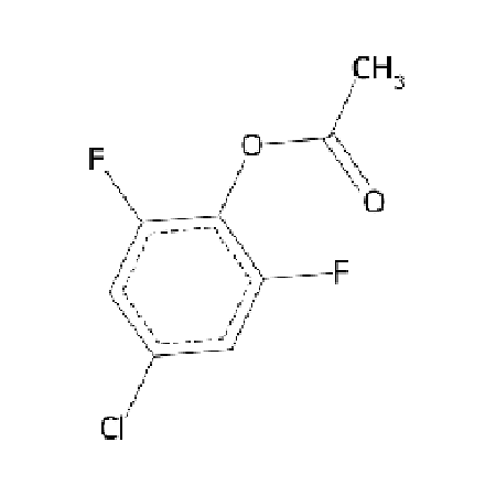 CC(=O)Oc1c(F)cc(Cl)cc1F